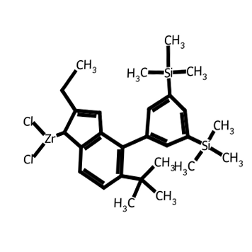 CCC1=Cc2c(ccc(C(C)(C)C)c2-c2cc([Si](C)(C)C)cc([Si](C)(C)C)c2)[CH]1[Zr]([Cl])[Cl]